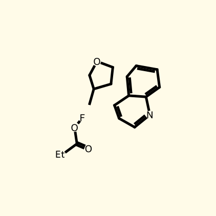 CC1CCOC1.CCC(=O)OF.c1ccc2ncccc2c1